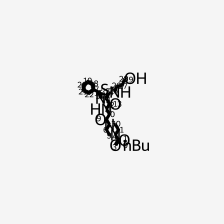 CCCCOC(=O)N1CCN(C(=O)CNC(=O)c2nc(-c3ccccc3)sc2NCCCO)CC1